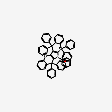 c1ccc(-n2c3c(c4c2[Si](c2ccccc2)(c2ccccc2)c2ccccc2C4(c2ccccc2)c2ccccc2)Oc2ccccc2C3(c2ccccc2)c2ccccc2)cc1